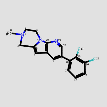 CC(C)N1CCn2c(cc3cc(-c4cccc(F)c4F)cnc32)C1